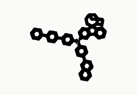 c1ccc(-c2ccc(-c3ccc(N(c4ccc(-c5ccc6ccccc6c5)cc4)c4ccc5c(c4)-c4ccccc4C54CCC5CC6CC4C6C5)cc3)cc2)cc1